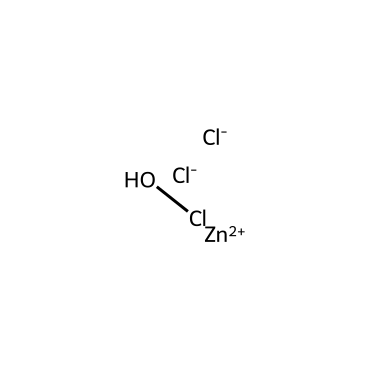 OCl.[Cl-].[Cl-].[Zn+2]